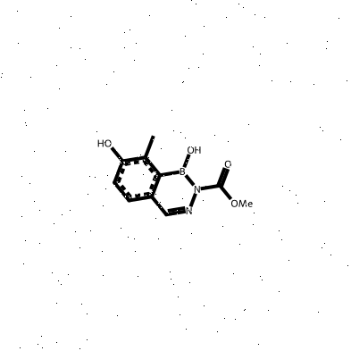 COC(=O)N1N=Cc2ccc(O)c(C)c2B1O